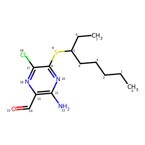 CCCCCC(CC)Sc1nc(N)c(C=O)nc1Cl